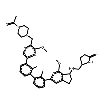 COc1nc(-c2cccc(-c3cccc(-c4cc5c(c(OC)n4)C(NCC4CCC(=O)N4)CC5)c3F)c2C)cnc1CN1CCN(C(C)=O)CC1